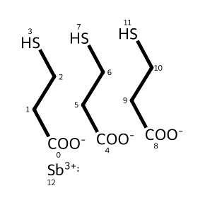 O=C([O-])CCS.O=C([O-])CCS.O=C([O-])CCS.[Sb+3]